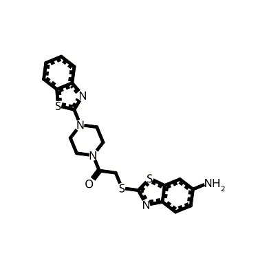 Nc1ccc2nc(SCC(=O)N3CCN(c4nc5ccccc5s4)CC3)sc2c1